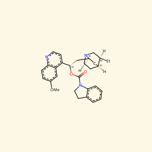 CC[C@@H]1CN2CC[C@H]1C[C@H]2C[C@H](OC(=O)N1CCc2ccccc21)c1ccnc2ccc(OC)cc12